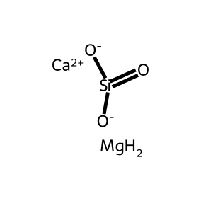 O=[Si]([O-])[O-].[Ca+2].[MgH2]